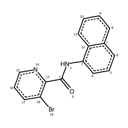 O=C(Nc1cccc2ccccc12)c1ncccc1Br